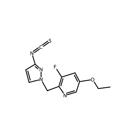 CCOc1cnc(Cn2ccc(N=C=S)n2)c(F)c1